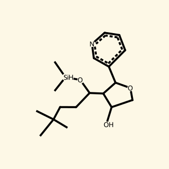 C[SiH](C)OC(CCC(C)(C)C)C1C(O)COC1c1cccnc1